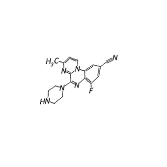 CC1=C=CN2C(=N1)C(N1CCNCC1)=Nc1c(F)cc(C#N)cc12